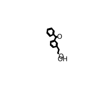 O=C(c1ccccc1)c1cccc(CCOO)c1